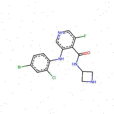 O=C(NC1CNC1)c1c(F)cncc1Nc1ccc(Br)cc1Cl